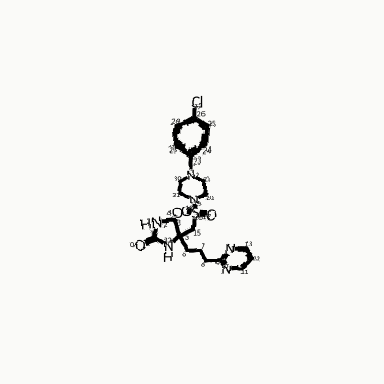 O=C1NC(=O)C(CCCc2ncccn2)(CS(=O)(=O)N2CCN(c3ccc(Cl)cc3)CC2)N1